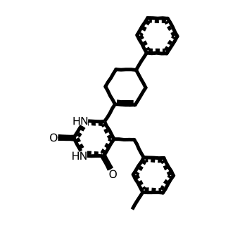 Cc1cccc(Cc2c(C3=CCC(c4ccccc4)CC3)[nH]c(=O)[nH]c2=O)c1